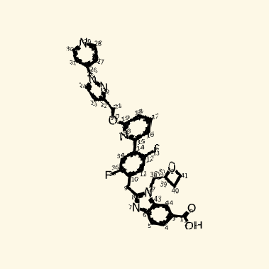 O=C(O)c1ccc2nc(Cc3cc(F)c(-c4cccc(OCc5ccn(-c6ccncc6)n5)n4)cc3F)n(C[C@@H]3CCO3)c2c1